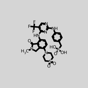 CN1Cc2c(N3CCS(=O)(=O)CC3)ccc(Nc3nc(Nc4ccc(CP(=O)(O)O)cc4)ncc3C(F)(F)F)c2C1=O